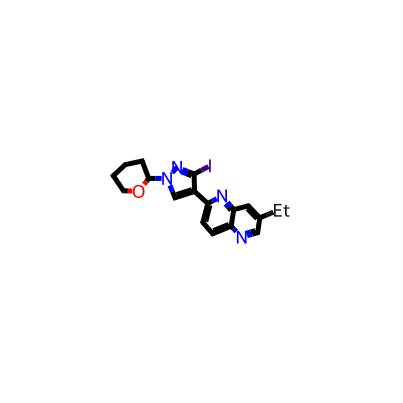 CCc1cnc2ccc(-c3cn(C4CCCCO4)nc3I)nc2c1